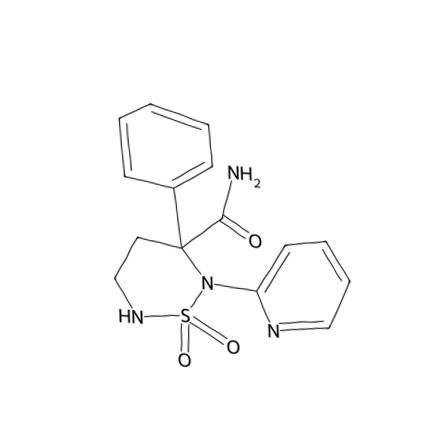 NC(=O)C1(c2ccccc2)CCNS(=O)(=O)N1c1ccccn1